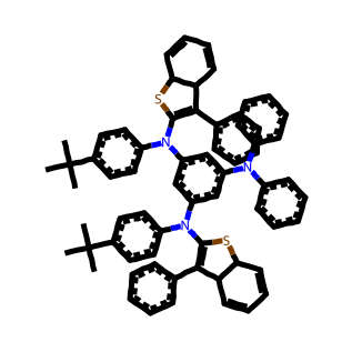 CC(C)(C)c1ccc(N(C2=C(c3ccccc3)C3C=CC=CC3S2)c2cc(N(C3=C(c4ccccc4)C4C=CC=CC4S3)c3ccc(C(C)(C)C)cc3)cc(N(c3ccccc3)c3ccccc3)c2)cc1